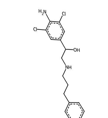 Nc1c(Cl)cc(C(O)CNCCCc2ccccc2)cc1Cl